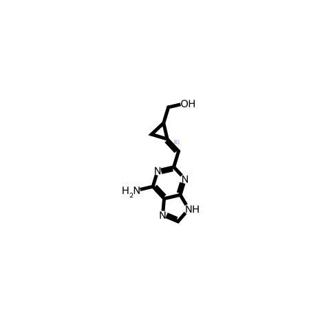 Nc1nc(/C=C2\CC2CO)nc2[nH]cnc12